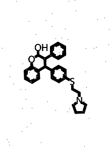 OC1Oc2ccccc2C(c2ccc(SCCN3CCCC3)cc2)C1c1ccccc1